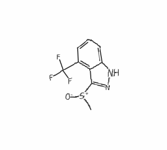 C[S+]([O-])c1n[nH]c2cccc(C(F)(F)F)c12